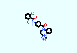 O=C(Nc1ccc(C(=O)N2CCc3nncn3-c3ccccc32)cc1)c1c(Cl)cccc1Cl